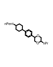 CCCCCC1CCC(c2ccc(C3COC(CCC)CO3)cc2)CC1